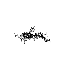 CC1=C(C/C=C(\C)C(C)/C=C/C(C)=C/CO)C(C)(C)C(C(=O)[C@H](C)NC(=O)[C@H](C)N)CC1